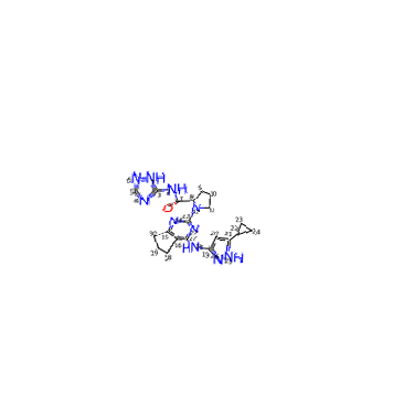 O=C(Nc1ncn[nH]1)C1CCCN1c1nc2c(c(Nc3cc(C4CC4)[nH]n3)n1)CCC2